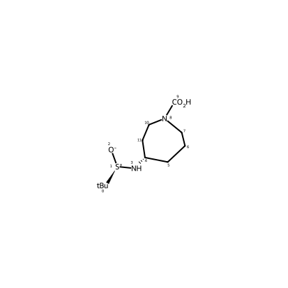 CC(C)(C)[S@@+]([O-])N[C@H]1CCCN(C(=O)O)CC1